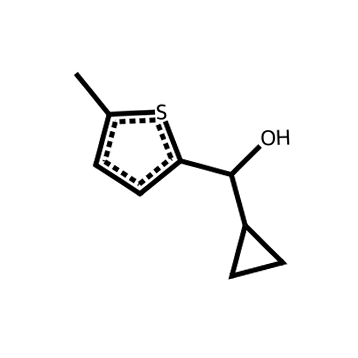 Cc1ccc(C(O)C2CC2)s1